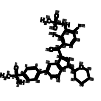 CS(=N)(=O)c1ccc(-c2cnc3c(c2)c(C(=O)c2ccc(F)c(NS(C)(=O)=O)c2F)nn3C2CCCCO2)cc1